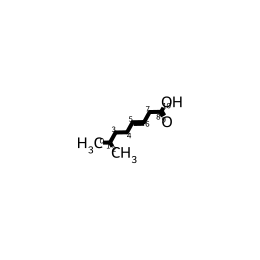 CC(C)CCC=CCC(=O)O